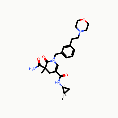 C[C@H]1C[C@@H]1NC(=O)C1=CN(Cc2cccc(CCN3CCOCC3)c2)C(=O)C(C)(C(N)=O)C1